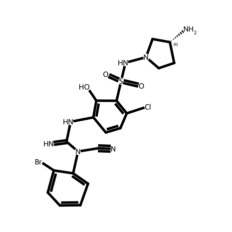 N#CN(C(=N)Nc1ccc(Cl)c(S(=O)(=O)NN2CC[C@@H](N)C2)c1O)c1ccccc1Br